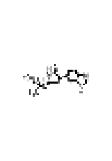 CC(C)(C)CC(C)(C)N=C1CN(c2ccc3nc[nH]c3c2)C(=S)N1